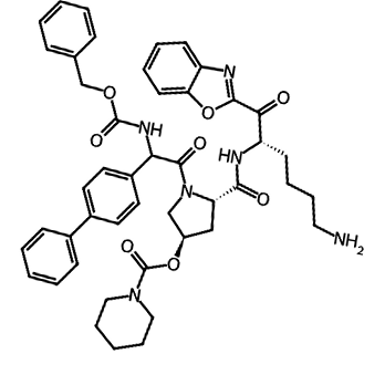 NCCCC[C@H](NC(=O)[C@@H]1C[C@@H](OC(=O)N2CCCCC2)CN1C(=O)C(NC(=O)OCc1ccccc1)c1ccc(-c2ccccc2)cc1)C(=O)c1nc2ccccc2o1